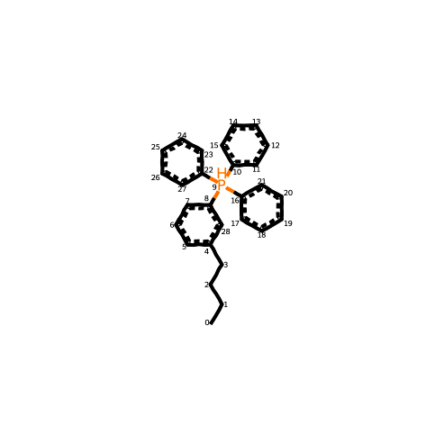 CCCCc1cccc([PH](c2ccccc2)(c2ccccc2)c2ccccc2)c1